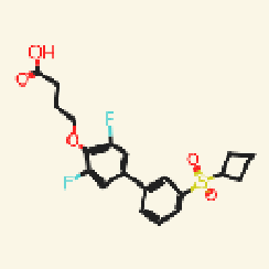 O=C(O)CCCOc1c(F)cc(-c2cccc(S(=O)(=O)C3CCC3)c2)cc1F